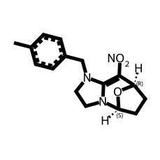 Cc1ccc(CN2CCN3C2=C([N+](=O)[O-])[C@H]2CC[C@@H]3O2)cc1